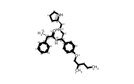 CCCC(C)COc1ccc([C@H](CNC[C@H]2CCCN2)NC(=O)[C@@H](C)c2ccccc2)cc1